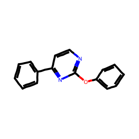 [c]1ccccc1Oc1nccc(-c2ccccc2)n1